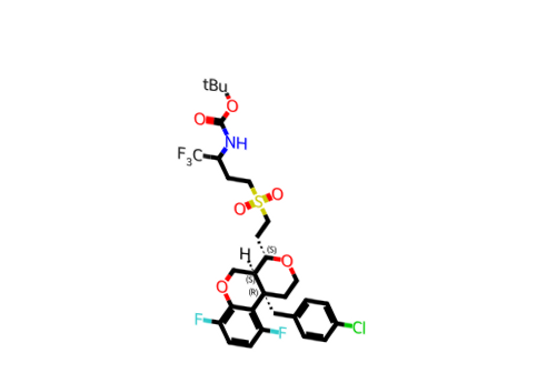 CC(C)(C)OC(=O)NC(CCS(=O)(=O)CC[C@@H]1OCC[C@@]2(Cc3ccc(Cl)cc3)c3c(F)ccc(F)c3OC[C@@H]12)C(F)(F)F